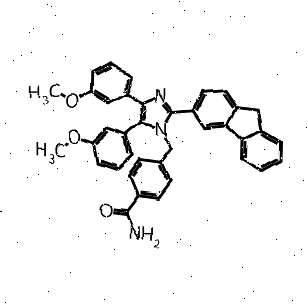 COc1cccc(-c2nc(-c3ccc4c(c3)-c3ccccc3C4)n(Cc3ccc(C(N)=O)cc3)c2-c2cccc(OC)c2)c1